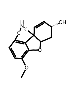 COc1ccc2c3c1OC1C[C@@H](O)C=CC31CNC2